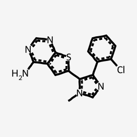 Cn1cnc(-c2ccccc2Cl)c1-c1cc2c(N)ncnc2s1